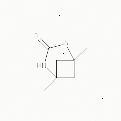 CC12CC(C)(C1)OC(=O)N2